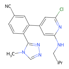 CC(C)CNc1cc(-c2cc(C#N)ccc2-c2nncn2C)cc(Cl)n1